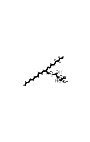 CCCCCCCCCCC(CCCCCCCC)COCC(O)COP(=O)(O)O